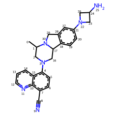 CC1CN(c2ccc(C#N)c3ncccc23)CC2c3ccc(N4CC(N)C4)cc3CN12